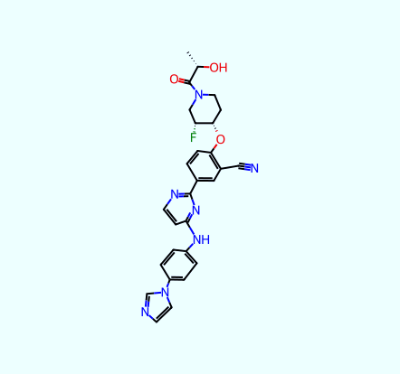 C[C@H](O)C(=O)N1CC[C@H](Oc2ccc(-c3nccc(Nc4ccc(-n5ccnc5)cc4)n3)cc2C#N)[C@H](F)C1